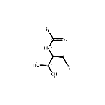 CCC(=O)N[C@@H](CC(C)=O)B(O)O